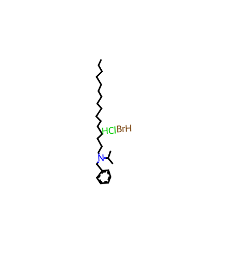 Br.CCCCCCCCCCCCCCCCN(Cc1ccccc1)C(C)C.Cl